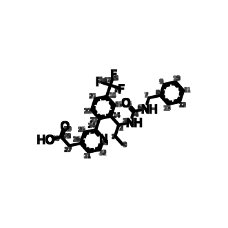 CCC(NC(=O)NCc1ccccc1)c1cc(C(F)(F)F)ccc1-c1cc(CC(=O)O)ccn1